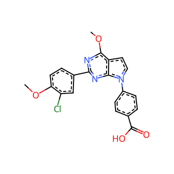 COc1ccc(-c2nc(OC)c3ccn(-c4ccc(C(=O)O)cc4)c3n2)cc1Cl